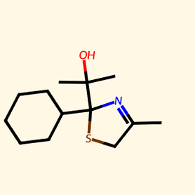 CC1=NC(C2CCCCC2)(C(C)(C)O)SC1